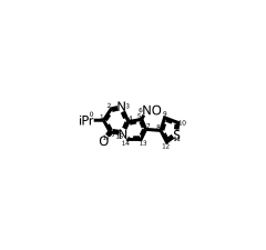 CC(C)c1cnc2c(N=O)c(-c3ccsc3)ccn2c1=O